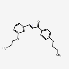 CCCOc1cccc(/C=C/C(=O)c2ccc(SCCC)cc2)c1